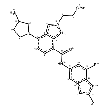 COCCn1cc2c(N3CCC(N)C3)ccc(C(=O)Nc3cc(F)c4nc(C)cn4c3)c2n1